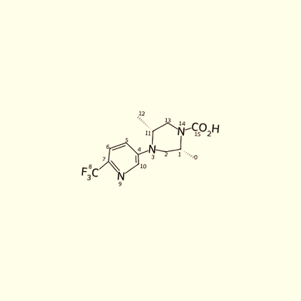 C[C@@H]1CN(c2ccc(C(F)(F)F)nc2)[C@H](C)CN1C(=O)O